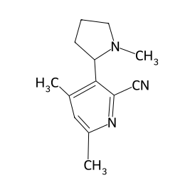 Cc1cc(C)c(C2CCCN2C)c(C#N)n1